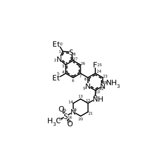 CCc1nc2c(CC)cc(-c3nc(NC4CCN(S(C)(=O)=O)CC4)ncc3F)cc2s1.N